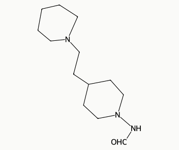 O=CNN1CCC(CCN2CCCCC2)CC1